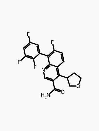 NC(=O)c1cnc2c(-c3cc(F)cc(F)c3F)c(F)ccc2c1C1CCOC1